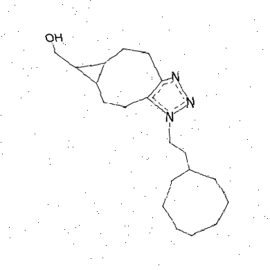 OCC1C2CCc3nnn(CCC4CCCCCCC4)c3CCC12